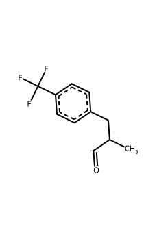 CC([C]=O)Cc1ccc(C(F)(F)F)cc1